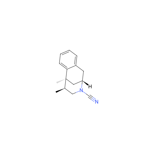 C[C@@H]1CN(C#N)[C@H]2Cc3ccccc3[C@@]1(C)C2